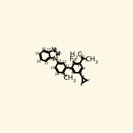 C=C(C)c1cc(C2CC2)cc(-c2cc(-n3nnc4ccccc43)ccc2C)c1F